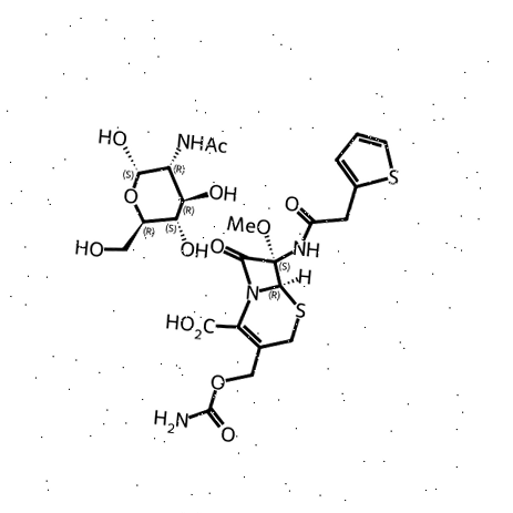 CC(=O)N[C@@H]1[C@@H](O)[C@H](O)[C@@H](CO)O[C@@H]1O.CO[C@@]1(NC(=O)Cc2cccs2)C(=O)N2C(C(=O)O)=C(COC(N)=O)CS[C@@H]21